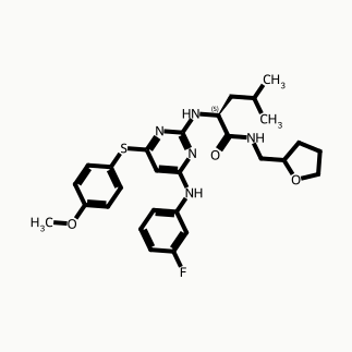 COc1ccc(Sc2cc(Nc3cccc(F)c3)nc(N[C@@H](CC(C)C)C(=O)NCC3CCCO3)n2)cc1